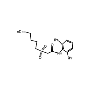 CCCCCCCCCCCCCCS(=O)(=O)CC(=O)Nc1c(C(C)C)cccc1C(C)C